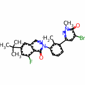 [CH2]c1c(-c2cc(Br)c(=O)n(C)n2)cccc1-n1ncc2cc(C(C)(C)C)cc(F)c2c1=O